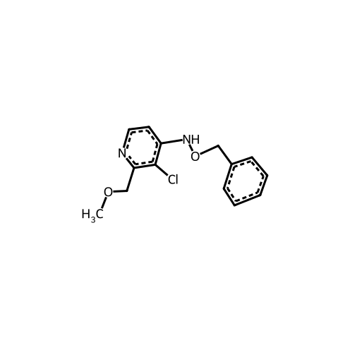 COCc1nccc(NOCc2ccccc2)c1Cl